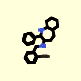 COc1ccccc1CNC1CCC2CCCCC2NC1c1ccccc1